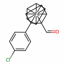 O=C[C]12[CH]3[CH]4[CH]5[C]1(c1ccc(Cl)cc1)[Fe]43521678[CH]2[CH]1[CH]6[CH]7[CH]28